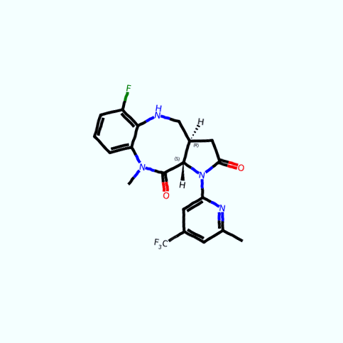 Cc1cc(C(F)(F)F)cc(N2C(=O)C[C@@H]3CNc4c(F)cccc4N(C)C(=O)[C@H]32)n1